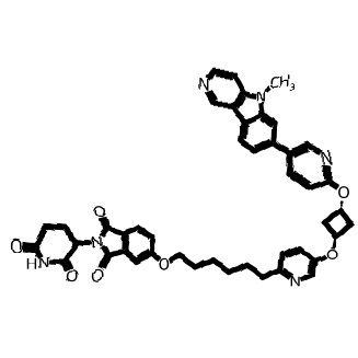 Cn1c2ccncc2c2ccc(-c3ccc(O[C@H]4C[C@H](Oc5ccc(CCCCCCOc6ccc7c(c6)C(=O)N(C6CCC(=O)NC6=O)C7=O)nc5)C4)nc3)cc21